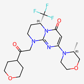 C[C@@H]1COCCN1c1cc(=O)n2c(n1)N(CC(=O)C1CCOCC1)CC[C@@H]2C(F)(F)F